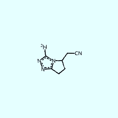 [2H]c1nnc2n1C(CC#N)CC2